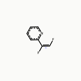 F/C=C(/F)c1ccccn1